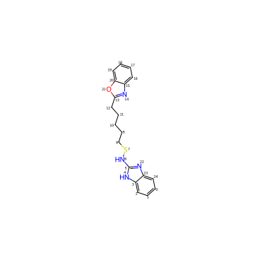 c1ccc2[nH]c(NSCCCCCc3nc4ccccc4o3)nc2c1